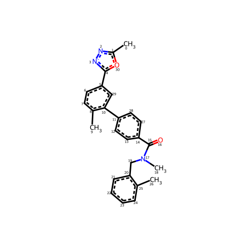 Cc1nnc(-c2ccc(C)c(-c3ccc(C(=O)N(C)Cc4ccccc4C)cc3)c2)o1